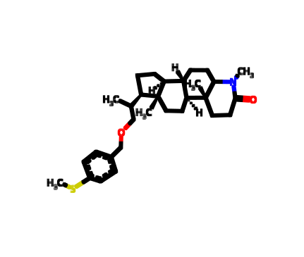 CSc1ccc(COCC(C)[C@H]2CC[C@H]3[C@@H]4CCC5N(C)C(=O)CC[C@]5(C)[C@H]4CC[C@]23C)cc1